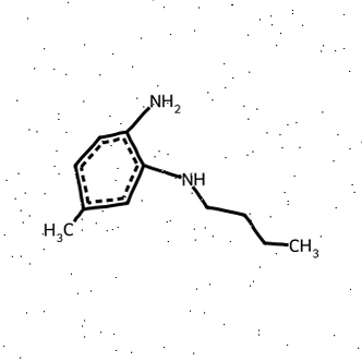 CCCCNc1cc(C)ccc1N